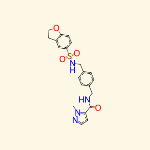 Cn1nccc1C(=O)NCc1ccc(CNS(=O)(=O)c2ccc3c(c2)CCO3)cc1